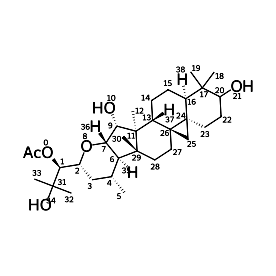 CC(=O)O[C@@H]([C@H]1C[C@@H](C)[C@H]2[C@H](O1)[C@H](O)[C@@]1(C)[C@@H]3CC[C@H]4C(C)(C)C(O)CC[C@@]45C[C@@]35CC[C@]21C)C(C)(C)O